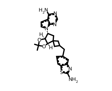 CC1(C)O[C@H]2[C@H](n3ccc4c(N)ncnc43)CC3(CC(Cc4ccc5sc(N)nc5c4)C3)[C@H]2O1